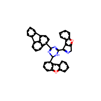 c1ccc2c(c1)-c1cccc3c(C4=NC(c5cccc6oc7ccccc7c56)NC(C5=NCc6oc7ccccc7c65)=N4)ccc-2c13